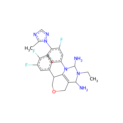 CCN1C(N)C2=C(C(c3ccc(F)c(F)c3)COC2)N(c2ccc(-n3ncnc3C)c(F)c2)C1N